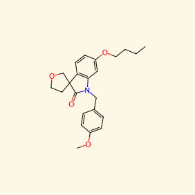 CCCCOc1ccc2c(c1)N(Cc1ccc(OC)cc1)C(=O)C21CCOC1